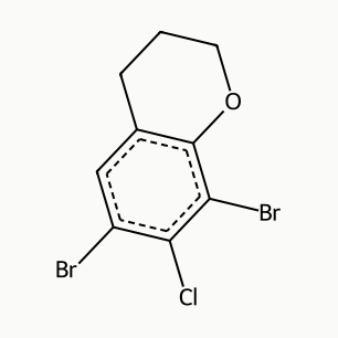 Clc1c(Br)cc2c(c1Br)OCCC2